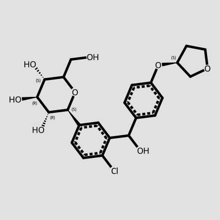 OCC1O[C@@H](c2ccc(Cl)c(C(O)c3ccc(O[C@H]4CCOC4)cc3)c2)[C@H](O)[C@@H](O)[C@@H]1O